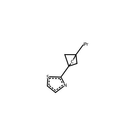 CC(C)C12CC(c3nccs3)(C1)C2